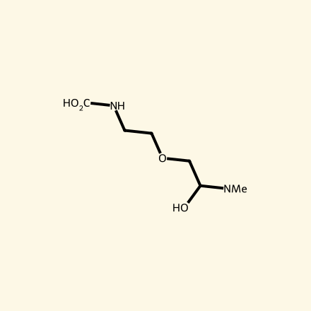 CNC(O)COCCNC(=O)O